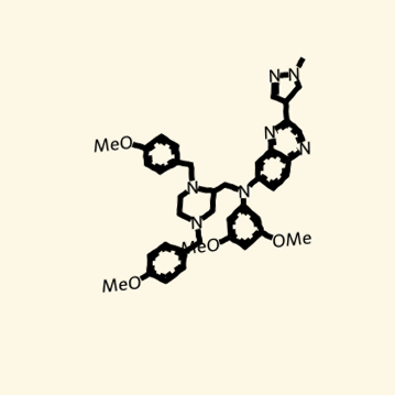 COc1ccc(CN2CCN(Cc3ccc(OC)cc3)C(CN(c3cc(OC)cc(OC)c3)c3ccc4ncc(C5C=NN(C)C5)nc4c3)C2)cc1